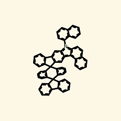 c1ccc2c(c1)-c1ccccc1C21c2ccccc2C2(c3ccccc3-c3cc4c(cc32)c2c3ccccc3ccc2n4-c2cccc3ccccc23)c2ccccc21